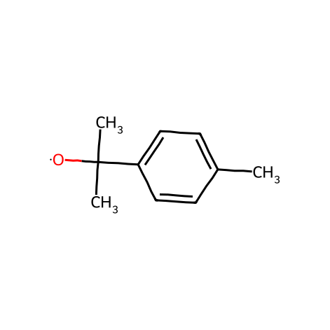 Cc1ccc(C(C)(C)[O])cc1